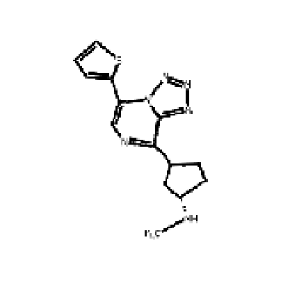 CN[C@H]1CCC(c2ncc(-c3cccs3)n3nnnc23)C1